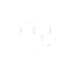 NN1ON=C([N+](=O)[O-])C1C1=NOC=NO1